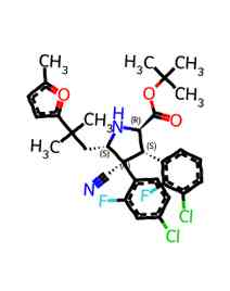 Cc1ccc(C(C)(C)C[C@@H]2N[C@@H](C(=O)OC(C)(C)C)[C@H](c3cccc(Cl)c3F)[C@@]2(C#N)c2ccc(Cl)cc2F)o1